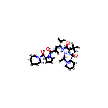 C/C(=C\[C@H](C(C)C)N(C)C(=O)[C@@H](NC(=O)[C@H]1CCCCN1C(C)C)C(C)(C)C)C(=O)N1CCC[C@H]1C(=O)N1CCCCCC1